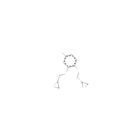 CC(C)c1ccc(OCC2CO2)c(OCC2CO2)c1